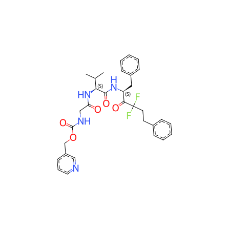 CC(C)[C@H](NC(=O)CNC(=O)OCc1cccnc1)C(=O)N[C@@H](Cc1ccccc1)C(=O)C(F)(F)CCc1ccccc1